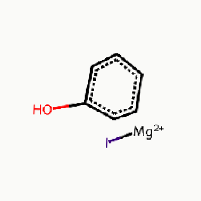 Oc1ccccc1.[Mg+2][I]